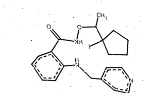 CC(ONC(=O)c1ccccc1NCc1ccncc1)C1(I)CCCC1